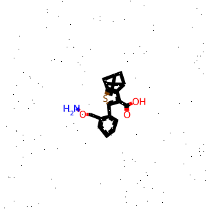 CC1(C)C2Cc3sc(-c4ccccc4CON)c(C(=O)O)c3C1C2